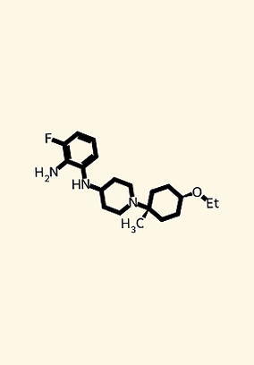 CCO[C@H]1CC[C@](C)(N2CCC(Nc3cccc(F)c3N)CC2)CC1